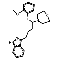 COc1c[c]ccc1OC(CCCc1n[nH]c2ccccc12)N1CCCCC1